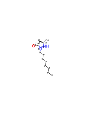 CCCCCCCCn1[nH]c(C)cc1=O